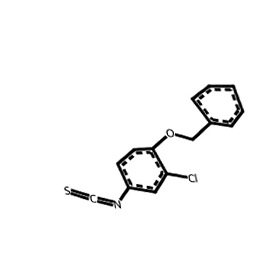 S=C=Nc1ccc(OCc2ccccc2)c(Cl)c1